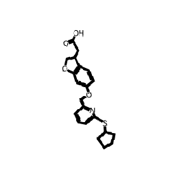 O=C(O)CC1COc2cc(OCc3cccc(SC4CCCC4)n3)ccc21